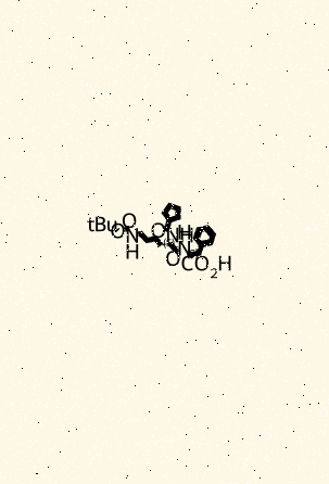 CC(C)(C)OC(=O)NCCCC[C@H](NC(=O)C1CCCC1)C(=O)N[C@@H](Cc1ccccc1)C(=O)O